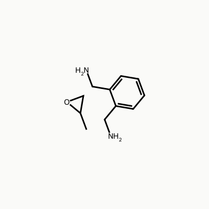 CC1CO1.NCc1ccccc1CN